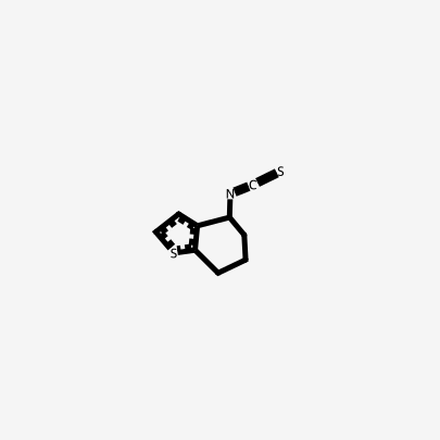 S=C=NC1CCCc2sccc21